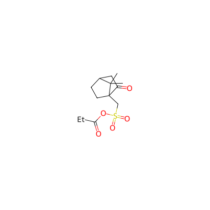 CCC(=O)OS(=O)(=O)CC12CCC(CC1=O)C2(C)C